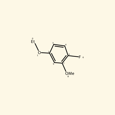 CCOc1ccc(F)c(OC)c1